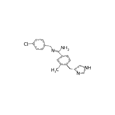 Cc1cc(C(N)=NCc2ccc(Cl)cc2)ccc1Cc1c[nH]cn1